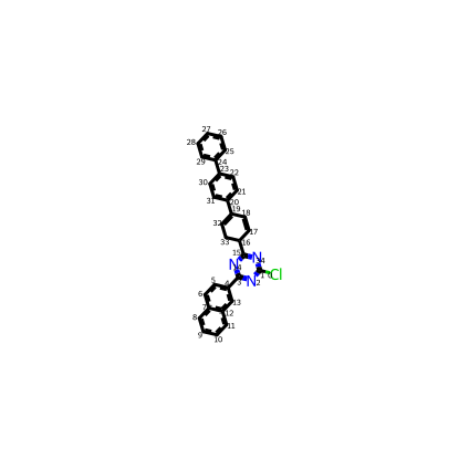 Clc1nc(-c2ccc3ccccc3c2)nc(C2C=CC(c3ccc(-c4ccccc4)cc3)=CC2)n1